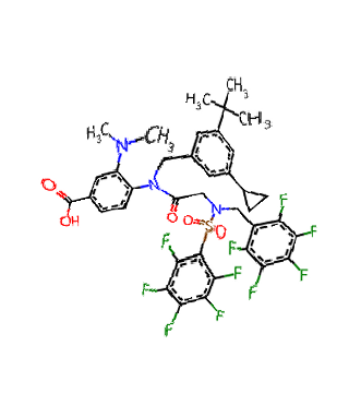 CN(C)c1cc(C(=O)O)ccc1N(Cc1cc(C2CC2)cc(C(C)(C)C)c1)C(=O)CN(Cc1c(F)c(F)c(F)c(F)c1F)S(=O)(=O)c1c(F)c(F)c(F)c(F)c1F